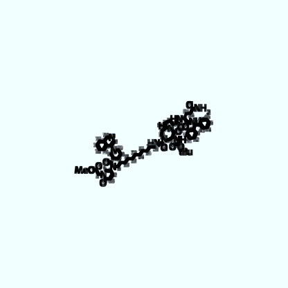 COC(=O)Cn1cc(N(CCCCCCCCCCCNC(=O)N2CC[C@H]3CC[C@@H](C(=O)N[C@@H](CCC(N)=O)C(=O)NC(c4ccccc4)c4ccccc4)N3C(=O)[C@@H](NC(=O)OC(C)(C)C)C2)C(=O)[C@H]2CCCN(c3cncc4ccccc34)C2)ccc1=O